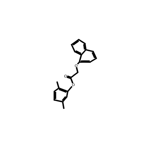 Cc1ccc(C)c(OC(=O)COc2cccc3ccccc23)c1